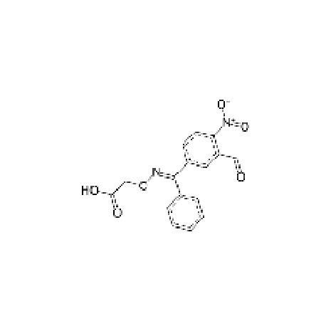 O=Cc1cc(/C(=N/OCC(=O)O)c2ccccc2)ccc1[N+](=O)[O-]